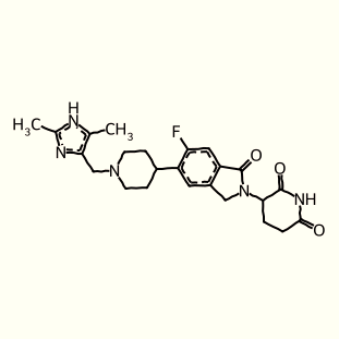 Cc1nc(CN2CCC(c3cc4c(cc3F)C(=O)N(C3CCC(=O)NC3=O)C4)CC2)c(C)[nH]1